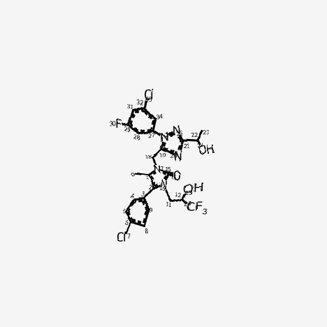 Cc1c(-c2ccc(Cl)cc2)n(CC(O)C(F)(F)F)c(=O)n1Cc1nc(C(C)O)nn1-c1cc(F)cc(Cl)c1